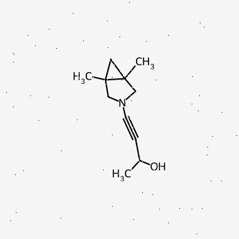 CC(O)C#CN1CC2(C)CC2(C)C1